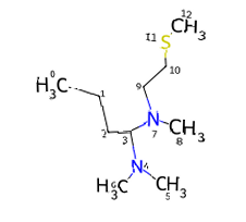 CCCC(N(C)C)N(C)CCSC